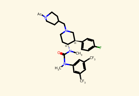 CC(=O)N1CCC(CN2CC[C@@H](N(C)C(=O)N(C)c3cc(C(F)(F)F)cc(C(F)(F)F)c3)[C@H](c3ccc(F)cc3)C2)CC1